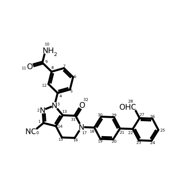 N#Cc1nn(-c2cccc(C(N)=O)c2)c2c1CCN(c1ccc(-c3ccccc3C=O)cc1)C2=O